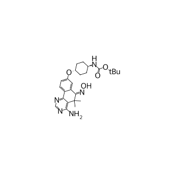 CC(C)(C)OC(=O)N[C@H]1CC[C@H](Oc2ccc3c(c2)/C(=N\O)C(C)(C)c2c(N)ncnc2-3)CC1